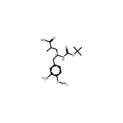 CC(C[C@H](Cc1ccc(OP)c(N)c1)NC(=O)OC(C)(C)C)C(=O)O